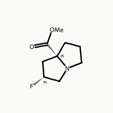 COC(=O)[C@]12CCCN1C[C@H](F)C2